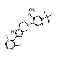 COc1cc(C(F)(F)F)ncc1N1CCc2[nH]c(-c3c(F)cccc3F)cc2C1